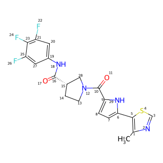 Cc1ncsc1-c1ccc(C(=O)N2CC[C@H](C(=O)Nc3cc(F)c(F)c(F)c3)C2)[nH]1